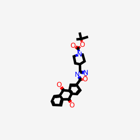 CC(C)(C)OC(=O)N1CCC(c2noc(-c3ccc4c(c3)C(=O)c3ccccc3C4=O)n2)CC1